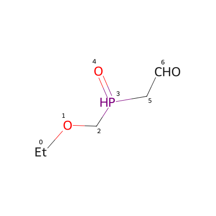 CCOC[PH](=O)CC=O